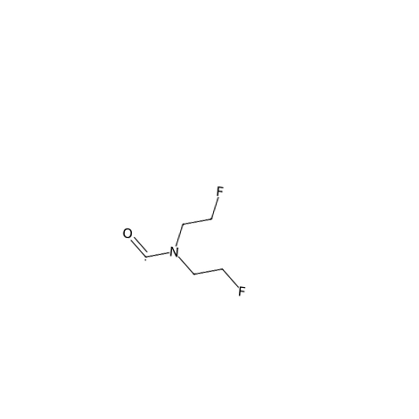 O=[C]N(CCF)CCF